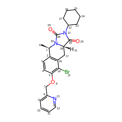 C[C@@H]1c2ccc(OCc3ccccn3)c(Br)c2C[C@H]2C(=O)N(C3CCCCC3)C(=O)N12